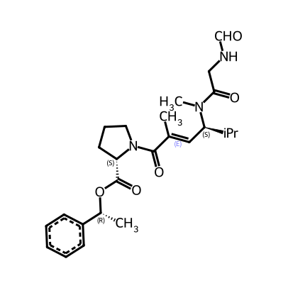 C/C(=C\[C@H](C(C)C)N(C)C(=O)CNC=O)C(=O)N1CCC[C@H]1C(=O)O[C@H](C)c1ccccc1